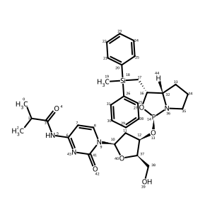 CC(C)C(=O)Nc1ccn([C@H]2C[C@@H](O[P@@]3O[C@H](C[Si](C)(c4ccccc4)c4ccccc4)[C@@H]4CCCN43)[C@@H](CO)O2)c(=O)n1